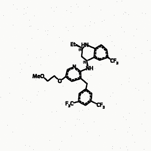 CC[C@@H]1C[C@H](Nc2ncc(OCCOC)cc2Cc2cc(C(F)(F)F)cc(C(F)(F)F)c2)c2cc(C(F)(F)F)ccc2N1